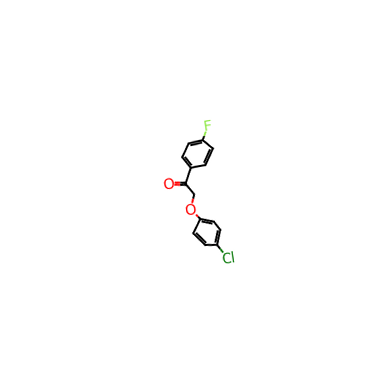 O=C(COc1ccc(Cl)cc1)c1ccc(F)cc1